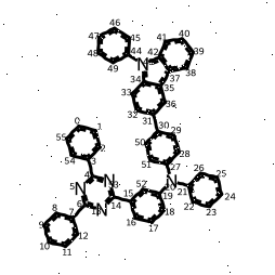 c1ccc(-c2nc(-c3ccccc3)nc(-c3cccc(N(c4ccccc4)c4ccc(-c5ccc6c(c5)c5ccccc5n6-c5ccccc5)cc4)c3)n2)cc1